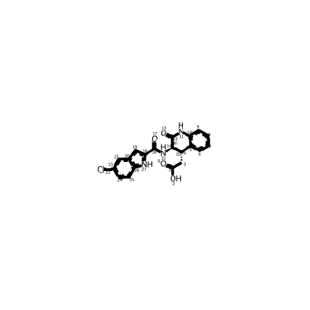 O=C(O)C[C@H]1c2ccccc2NC(=O)[C@@H]1NC(=O)c1cc2cc(Cl)ccc2[nH]1